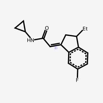 CCC1C/C(=C\C(=O)NC2CC2)c2cc(F)ccc21